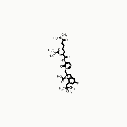 CN(C)C(=O)/C=C/CCC(OC(=O)N(C)C)C(=O)Nc1cncn(Cc2cc3cc(F)cc(CC(C)(C)C)c3n2C(=O)O)c1=O